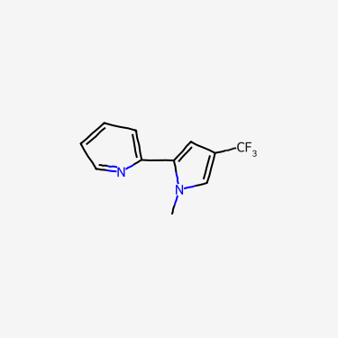 Cn1cc(C(F)(F)F)cc1-c1ccccn1